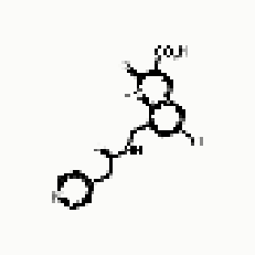 O=C(Cc1ccncc1)NCc1cc(Cl)cc2cc(C(=O)O)c(=O)[nH]c12